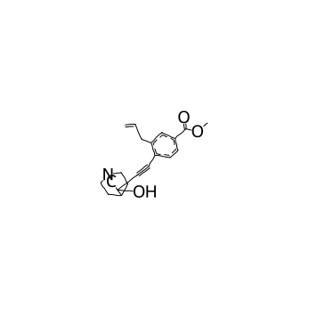 C=CCc1cc(C(=O)OC)ccc1C#CC1(O)CN2CCC1CC2